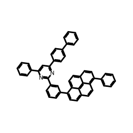 c1ccc(-c2ccc(-c3cc(-c4ccccc4)nc(-c4cccc(-c5ccc6ccc7c(-c8ccccc8)ccc8ccc5c6c87)c4)n3)cc2)cc1